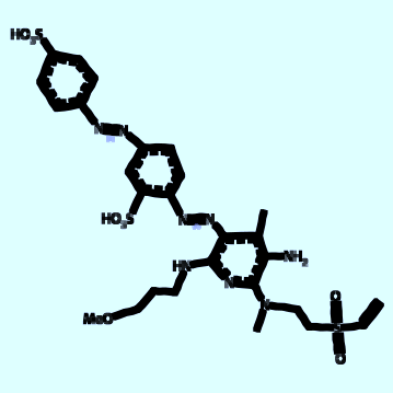 C=CS(=O)(=O)CCN(C)c1nc(NCCCOC)c(/N=N/c2ccc(/N=N/c3ccc(S(=O)(=O)O)cc3)cc2S(=O)(=O)O)c(C)c1N